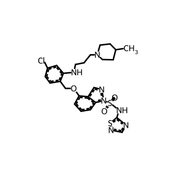 CC1CCN(CCCNc2cc(Cl)ccc2COc2cccc3c2cnn3S(=O)(=O)Nc2ncns2)CC1